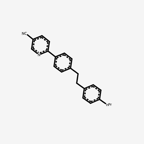 CCCc1ccc(CCc2ccc(-c3ccc(C#N)cn3)cc2)cc1